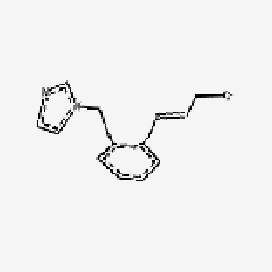 [O]C/C=C/c1ccccc1Cn1ccnc1